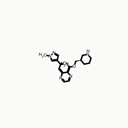 C=C(/C=c1/nccn/c1=C(/N)OC[C@@H]1CCCNC1)c1cnn(C)c1